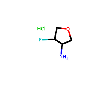 Cl.NC1COCC1F